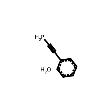 O.PC#Cc1ccccc1